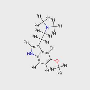 [2H]c1[nH]c2c([2H])c([2H])c(OC([2H])([2H])[2H])c([2H])c2c1C([2H])([2H])C([2H])([2H])N(C([2H])([2H])[2H])C([2H])([2H])[2H]